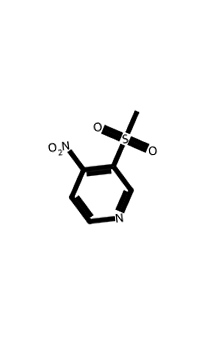 CS(=O)(=O)c1cnccc1[N+](=O)[O-]